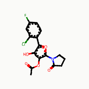 CC(=O)Oc1c(N2CCCC2=O)oc(-c2ccc(F)cc2Cl)c1O